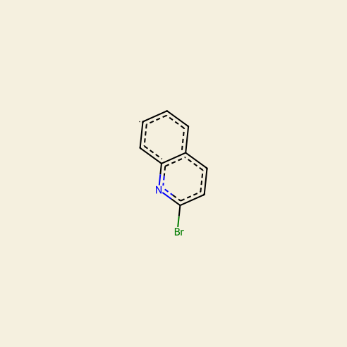 Brc1ccc2cc[c]cc2n1